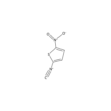 [C-]#[N+]c1ccc([N+](=O)[O-])s1